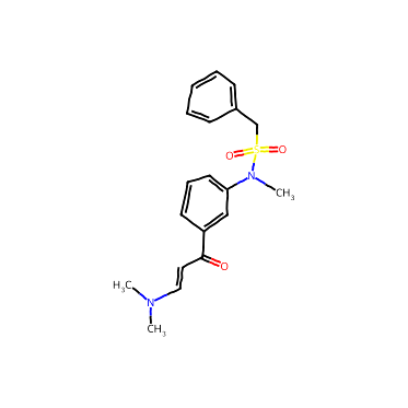 CN(C)C=CC(=O)c1cccc(N(C)S(=O)(=O)Cc2ccccc2)c1